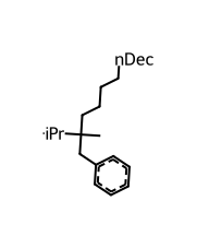 CCCCCCCCCCCCCCC(C)(Cc1ccccc1)[C](C)C